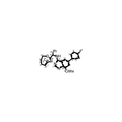 COc1cc(-c2ccc(F)cc2)cc2c(NC(/C3=N/C(C)=C/CCCO3)C(C)C)ncnc12